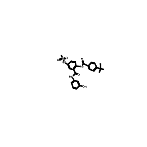 CC(C)(C)c1ccc(C(=O)Nc2ccc(NS(C)(=O)=O)cc2C(=O)Nc2cccc(O)c2)cc1